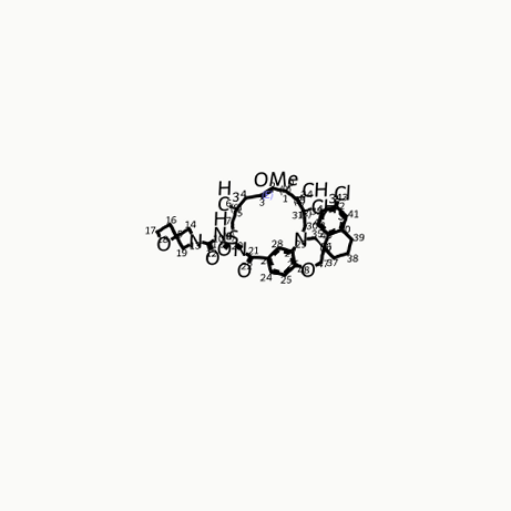 CO[C@H]1/C=C/C[C@H](C)C[S@@](=O)(NC(=O)N2CC3(CCO3)C2)=NC(=O)c2ccc3c(c2)N(C[C@H](C)[C@H]1C)C[C@@]1(CCCc2cc(Cl)ccc21)CO3